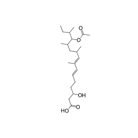 CCC(C)C(OC(C)=O)C(C)CC(C)/C=C(C)/C=C/CCC(O)CC(=O)O